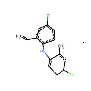 C=Cc1cc(Cl)ccc1NC1=CCC(F)C=C1C